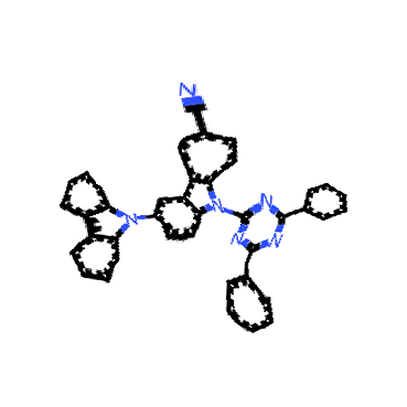 N#Cc1ccc2c(c1)c1cc(-n3c4ccccc4c4ccccc43)ccc1n2-c1nc(-c2ccccc2)nc(-c2ccccc2)n1